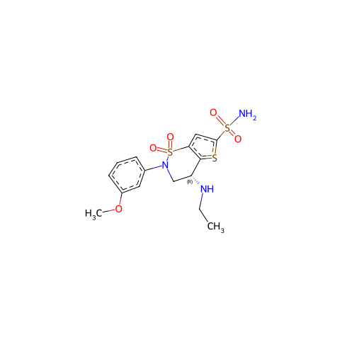 CCN[C@@H]1CN(c2cccc(OC)c2)S(=O)(=O)c2cc(S(N)(=O)=O)sc21